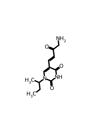 CCC(C)n1cc(/C=C/C(=O)CN)c(=O)[nH]c1=O